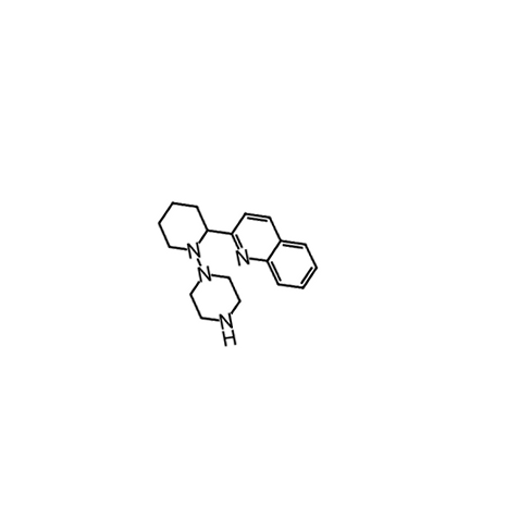 c1ccc2nc(C3CCCCN3N3CCNCC3)ccc2c1